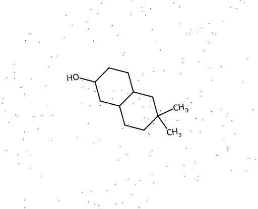 CC1(C)CCC2CC(O)CCC2C1